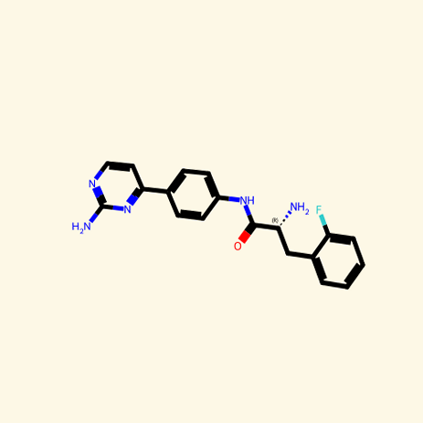 Nc1nccc(-c2ccc(NC(=O)[C@H](N)Cc3ccccc3F)cc2)n1